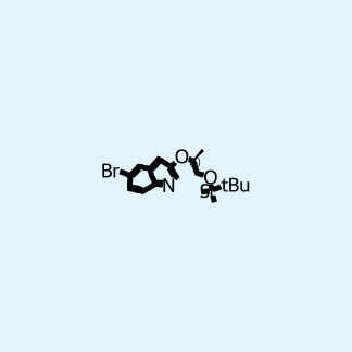 C[C@@H](CO[Si](C)(C)C(C)(C)C)Oc1cnc2ccc(Br)cc2c1